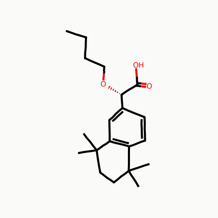 CCCCO[C@H](C(=O)O)c1ccc2c(c1)C(C)(C)CCC2(C)C